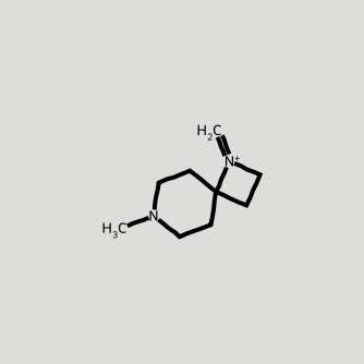 C=[N+]1CCC12CCN(C)CC2